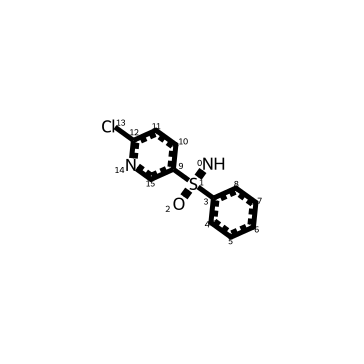 N=S(=O)(c1ccccc1)c1ccc(Cl)nc1